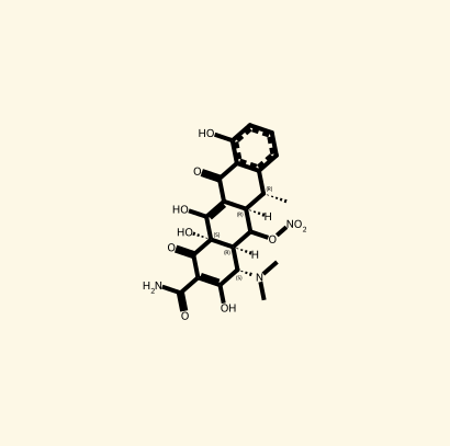 C[C@H]1c2cccc(O)c2C(=O)C2=C(O)[C@]3(O)C(=O)C(C(N)=O)=C(O)[C@@H](N(C)C)[C@@H]3C(O[N+](=O)[O-])[C@@H]21